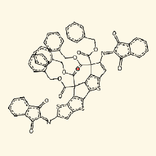 O=C(OCc1ccccc1)C1(C(=O)OCc2ccccc2)C(N=c2c(=O)c3ccccc3c2=O)=Cc2sc3c(c21)C(C(=O)OCc1ccccc1)(C(=O)OCc1ccccc1)c1c-3sc2cc(N=c3c(=O)c4ccccc4c3=O)sc12